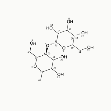 CC1OC(CO)[C@@H](O[C@H]2OC(CO)[C@@H](O)C(O)C2O)C(O)C1O